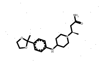 C[C@H](CC(N)=O)N1CCC(Nc2ccc(C3(C)OCCO3)cc2)CC1